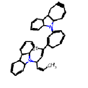 C/C=C\C(/C=C(\CC)C1=CC(N2C3C=CC=CC3C3CC#CC=CC32)=CC=CC1)N1C2C=CC=CC2C2C=CC=CC21